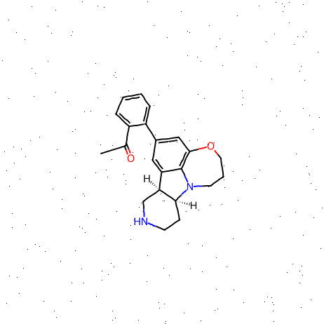 CC(=O)c1ccccc1-c1cc2c3c(c1)[C@@H]1CNCC[C@@H]1N3CCCO2